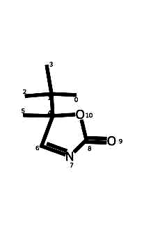 CC(C)(C)C1(C)C=NC(=O)O1